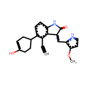 C#Cc1c(C2CC=C(O)CC2)ccc2c1/C(=C/c1[nH]ccc1OC)C(=O)N2